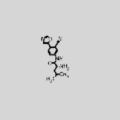 CC(C)C[C@@H](N)C(=O)Nc1ccc(-c2cnco2)c(C#N)c1